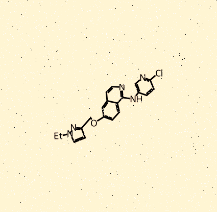 CCn1ccc(COc2ccc3c(Nc4ccc(Cl)nc4)nccc3c2)n1